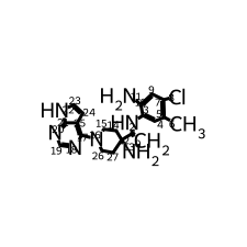 C=C(Nc1cc(C)c(Cl)cc1N)C1(N)CCN(c2ncnc3[nH]ccc23)CC1